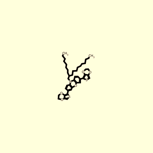 CCCCCCCCCCC(CCCCCCCC)CN1c2ccc(-c3scc4c3OCCO4)cc2Oc2cc(-c3scc4c3OCCO4)ccc21